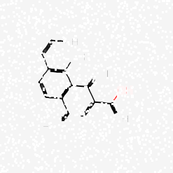 C=Cc1ccc(/C=C\C)c(C)c1C(=C)/C(=C\C)C(=C)O